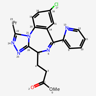 COC(=O)CCC1N=C(c2ccccn2)c2cc(Cl)ccc2-n2c(C(C)C)nnc21